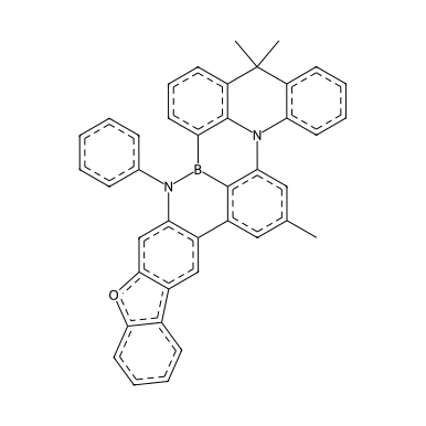 Cc1cc2c3c(c1)N1c4ccccc4C(C)(C)c4cccc(c41)B3N(c1ccccc1)c1cc3oc4ccccc4c3cc1-2